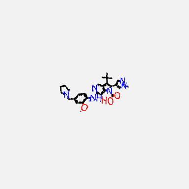 COc1cc(CN2CCCC2)ccc1Nc1cc2c(cn1)c(C(C)(C)C)c(-c1cnn(C)c1)n2C(=O)O